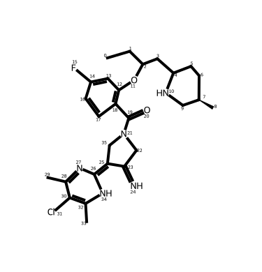 CCC(CC1CC[C@@H](C)CN1)Oc1cc(F)ccc1C(=O)N1CC(=N)/C(=C2/N=C(C)C(Cl)=C(C)N2)C1